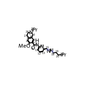 COc1cc2c(cc1C(=O)Nc1cccc(/C=N/N=C/CCC(C)C)n1)CN(C(C)C)CC2